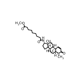 COC(=O)CCCCCCCC(=O)N[C@H]1CC[C@H]2[C@@H]3CC[C@H]4N(C)C(=O)C=C[C@]4(C)[C@H]3CC[C@]12C